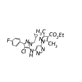 CCOC(=O)c1c(C)nn(-c2cc(Nc3c(Cl)c(-c4ccc(F)cc4)nn3CC3CC3)ncn2)c1C